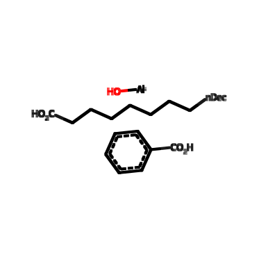 CCCCCCCCCCCCCCCCCC(=O)O.O=C(O)c1ccccc1.[OH][Al]